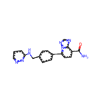 NC(=O)c1ccc(-c2ccc(CNc3cccnn3)cc2)n2n[c]nc12